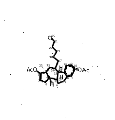 CC(=O)OC1=CC[C@H]2[C@@H]3CCc4cc(OC(C)=O)ccc4[C@H]3C(CCCCCCl)C[C@]12C